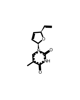 C=C[C@@H]1C=C[C@H](n2cc(C)c(=O)[nH]c2=O)O1